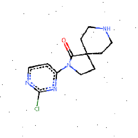 O=C1N(c2ccnc(Cl)n2)CCC12CCNCC2